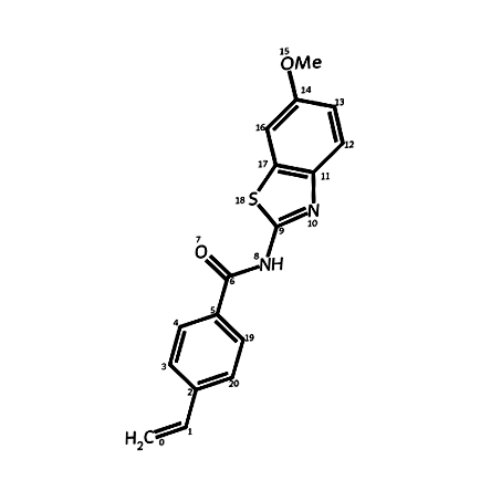 C=Cc1ccc(C(=O)Nc2nc3ccc(OC)cc3s2)cc1